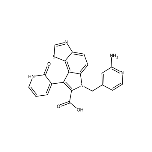 Nc1cc(Cn2c(C(=O)O)c(-c3ccc[nH]c3=O)c3c4scnc4ccc32)ccn1